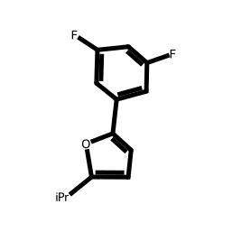 CC(C)c1ccc(-c2cc(F)cc(F)c2)o1